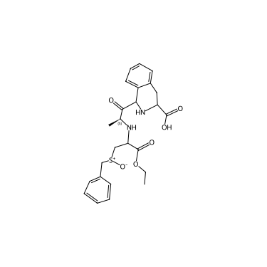 CCOC(=O)C(C[S+]([O-])Cc1ccccc1)N[C@@H](C)C(=O)C1NC(C(=O)O)Cc2ccccc21